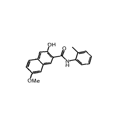 COc1ccc2cc(O)c(C(=O)Nc3ccccc3C)cc2c1